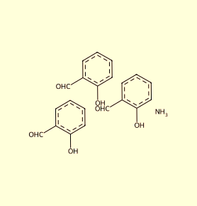 N.O=Cc1ccccc1O.O=Cc1ccccc1O.O=Cc1ccccc1O